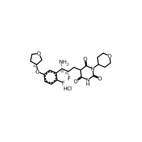 Cl.N[C@@H](c1cc(O[C@H]2CCOC2)ccc1F)[C@@H](F)CC1C(=O)NC(=O)N(C2CCOCC2)C1=O